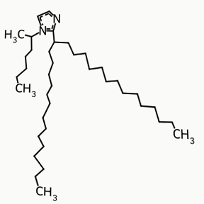 CCCCCCCCCCCCCCC(CCCCCCCCCCCCCC)c1nccn1C(C)CCCCC